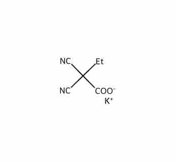 CCC(C#N)(C#N)C(=O)[O-].[K+]